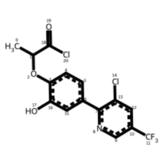 CC(Oc1ccc(-c2ncc(C(F)(F)F)cc2Cl)cc1O)C(=O)Cl